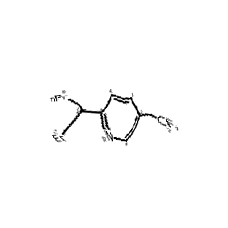 CCCC(CC)c1ccc(C(F)(F)F)cn1